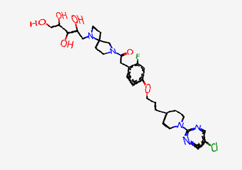 O=C(Cc1ccc(OCCCC2CCN(c3ncc(Cl)cn3)CC2)cc1F)N1CCC2(CCN2CC(O)C(O)C(O)CO)C1